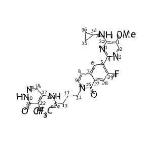 COc1cnc(-c2cc3ccn(CCC[C@H](C)Nc4cn[nH]c(=O)c4C(F)(F)F)c(=O)c3cc2F)nc1NC1CC1